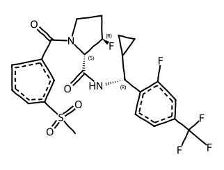 CS(=O)(=O)c1cccc(C(=O)N2CC[C@@H](F)[C@@H]2C(=O)N[C@@H](c2ccc(C(F)(F)F)cc2F)C2CC2)c1